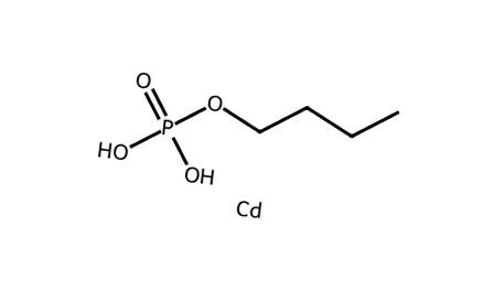 CCCCOP(=O)(O)O.[Cd]